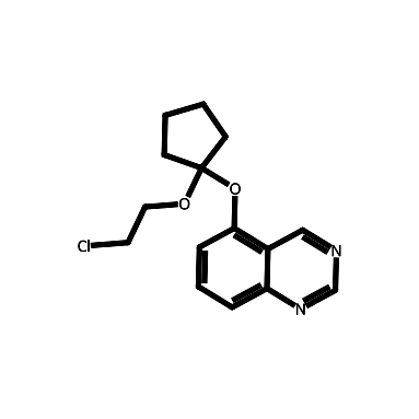 ClCCOC1(Oc2cccc3ncncc23)CCCC1